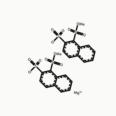 COS(=O)(=O)c1c(S(=O)(=O)[O-])ccc2ccccc12.COS(=O)(=O)c1c(S(=O)(=O)[O-])ccc2ccccc12.[Mg+2]